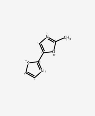 Cc1ncc(-c2nccs2)o1